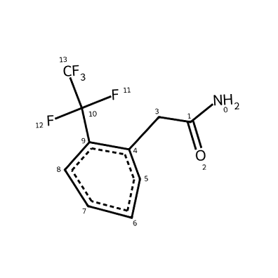 NC(=O)Cc1ccccc1C(F)(F)C(F)(F)F